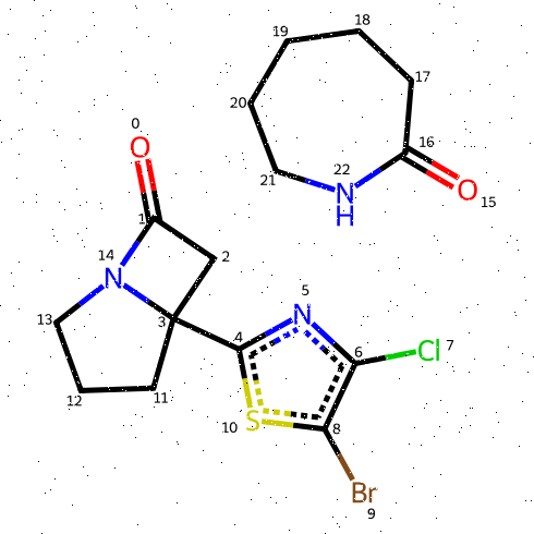 O=C1CC2(c3nc(Cl)c(Br)s3)CCCN12.O=C1CCCCCN1